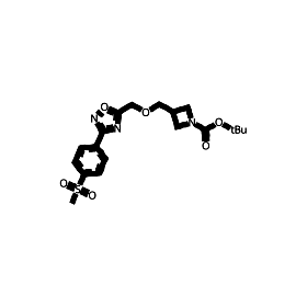 CC(C)(C)OC(=O)N1CC(COCc2nc(-c3ccc(S(C)(=O)=O)cc3)no2)C1